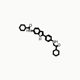 O=C(CNc1ccc(-c2cc3ccc(NC(=O)C4CCCCC4)cc3[nH]2)cc1)C1CCCCC1